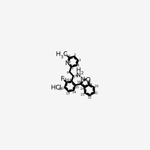 Cc1cccc(C[C@H](N)c2c(F)cccc2-c2noc3ccccc23)n1.Cl